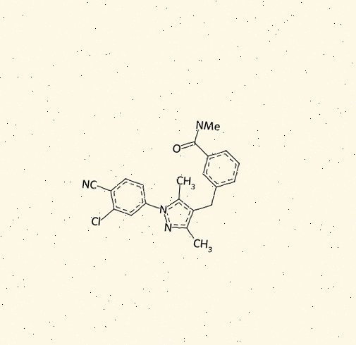 CNC(=O)c1cccc(Cc2c(C)nn(-c3ccc(C#N)c(Cl)c3)c2C)c1